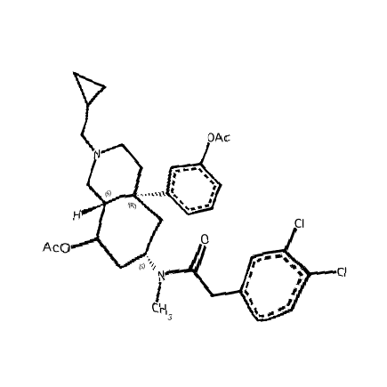 CC(=O)Oc1cccc([C@@]23CCN(CC4CC4)C[C@H]2C(OC(C)=O)C[C@@H](N(C)C(=O)Cc2ccc(Cl)c(Cl)c2)C3)c1